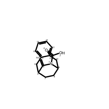 O=C(O)N1C(=O)C2CCC1Cc1ccccc1C2